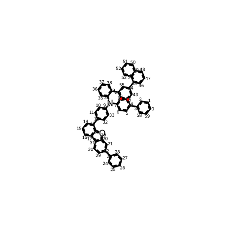 c1ccc(-c2ccc(N(c3ccc(-c4cccc5c4oc4cc(-c6ccccc6)ccc45)cc3)c3ccccc3-c3cccc(-c4cccc5ccccc45)c3)cc2)cc1